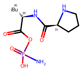 CC[C@@H](C)[C@@H](NC(=O)[C@@H]1CCCN1)C(=O)OP(N)(=O)O